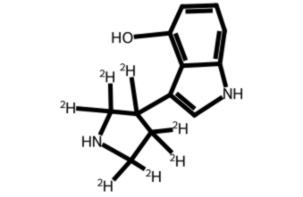 [2H]C1([2H])NC([2H])([2H])C([2H])(c2c[nH]c3cccc(O)c23)C1([2H])[2H]